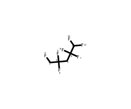 F[CH]C(F)(F)CC(F)(F)C(F)F